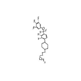 CCCCCC1CCC(c2ccc(C(F)(F)Oc3cc(F)c(F)c(F)c3)c(F)c2F)CC1